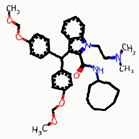 COCOc1ccc(C(c2ccc(OCOC)cc2)c2c(C(=O)NC3CCCCCCC3)n(CCN(C)C)c3ccccc23)cc1